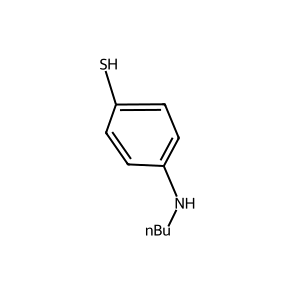 CCCCNc1ccc(S)cc1